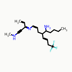 C=C/C(C#CNC)=N\C=C/CC(C=CCC(F)(F)F)C(N)CCCC